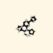 CC[C@@H]1c2nncn2-c2cnc(-c3nccs3)nc2N1C1CCCC1